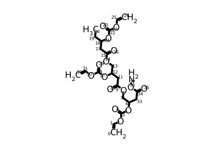 C=COC(=O)OC(COC(=O)CC(COC(=O)CC(CC)OC(=O)OC=C)OC(=O)OC=C)CC(=O)ON